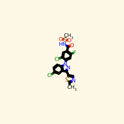 Cc1ncc(-c2nn(-c3cc(F)c(C(=O)NS(C)(=O)=O)cc3Cl)c3ccc(Cl)cc23)s1